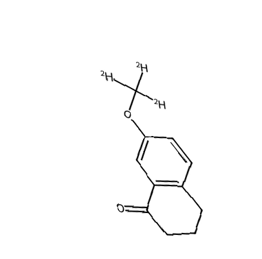 [2H]C([2H])([2H])Oc1ccc2c(c1)C(=O)CCC2